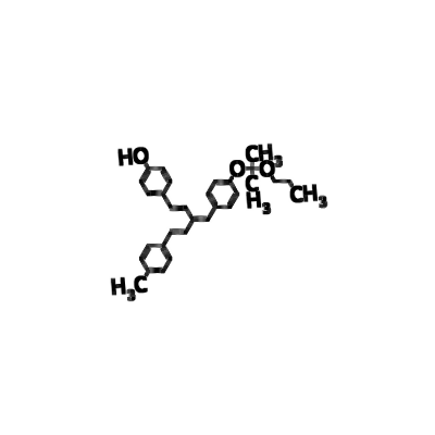 CCCOC(C)(C)Oc1ccc(C=C(C=Cc2ccc(C)cc2)C=Cc2ccc(O)cc2)cc1